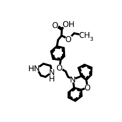 C1CNCCN1.CCOC(Cc1ccc(OCCN2c3ccccc3Oc3ccccc32)cc1)C(=O)O